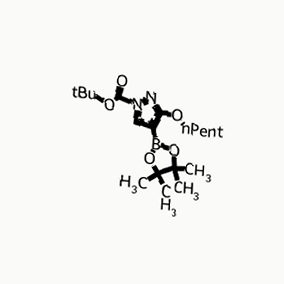 CCCCCOc1nn(C(=O)OC(C)(C)C)cc1B1OC(C)(C)C(C)(C)O1